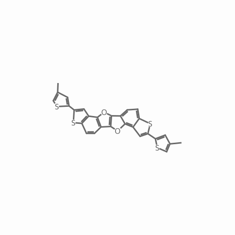 Cc1csc(-c2cc3c(ccc4c3oc3c5ccc6sc(-c7cc(C)cs7)cc6c5oc43)s2)c1